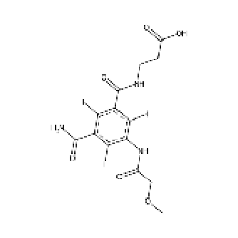 COCC(=O)Nc1c(I)c(C(N)=O)c(I)c(C(=O)NCCC(=O)O)c1I